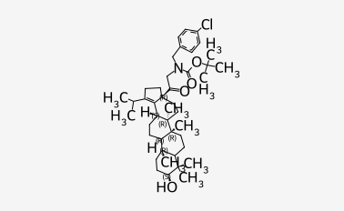 CC(C)C1=C2[C@H]3CC[C@@H]4[C@@]5(C)CC[C@H](O)C(C)(C)C5CC[C@@]4(C)[C@]3(C)CC[C@@]2(C(=O)CN(Cc2ccc(Cl)cc2)C(=O)OC(C)(C)C)CC1